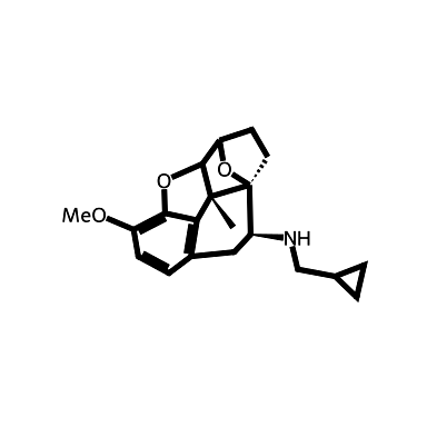 COc1ccc2c3c1OC1C4CC[C@](O4)([C@@H](NCC4CC4)C2)[C@]31C